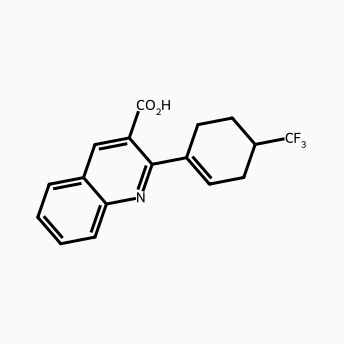 O=C(O)c1cc2ccccc2nc1C1=CCC(C(F)(F)F)CC1